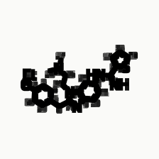 CCOc1ccc(Cc2nc3ccc(NC(=N)c4cccs4)cc3n2CCN(C)C)cc1